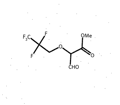 COC(=O)C(C=O)OCC(F)(F)C(F)(F)F